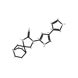 O=C1OC2(CN3CCC2CC3)CN1c1cc(-c2ccsc2)co1